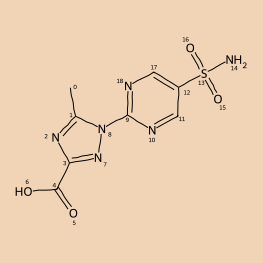 Cc1nc(C(=O)O)nn1-c1ncc(S(N)(=O)=O)cn1